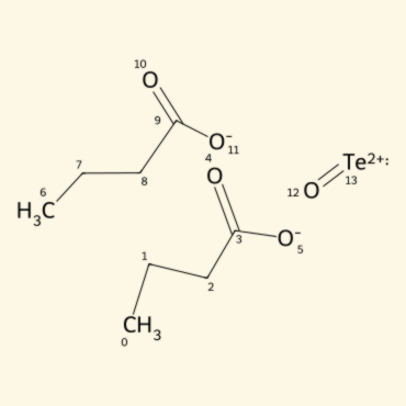 CCCC(=O)[O-].CCCC(=O)[O-].O=[Te+2]